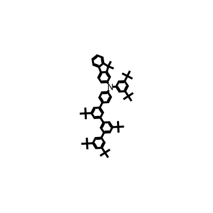 CC(C)(C)c1cc(-c2ccc(N(c3cc(C(C)(C)C)cc(C(C)(C)C)c3)c3ccc4c(c3)C(C)(C)c3ccccc3-4)cc2)cc(-c2cc(-c3cc(C(C)(C)C)cc(C(C)(C)C)c3)cc(C(C)(C)C)c2)c1